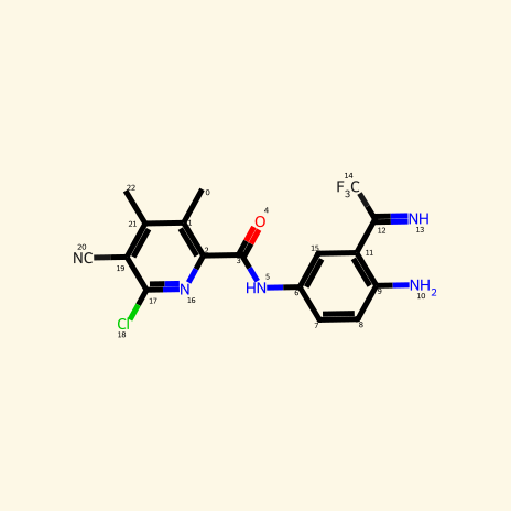 Cc1c(C(=O)Nc2ccc(N)c(C(=N)C(F)(F)F)c2)nc(Cl)c(C#N)c1C